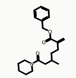 C=C(CCC(C)CC(=O)N1CCCCC1)C(=O)OCc1ccccc1